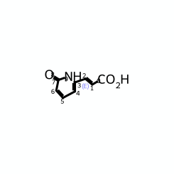 O=C(O)/C=C/c1cccc(=O)[nH]1